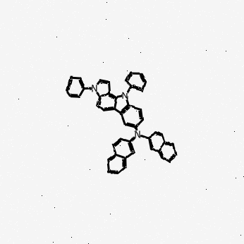 c1ccc(-n2ccc3c2ccc2c4cc(N(c5ccc6ccccc6c5)c5ccc6ccccc6c5)ccc4n(-c4ccccc4)c23)cc1